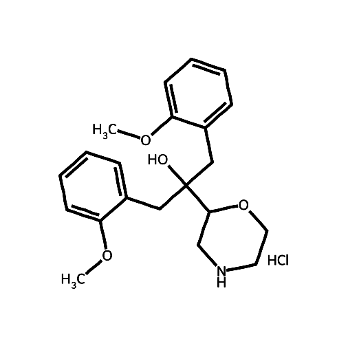 COc1ccccc1CC(O)(Cc1ccccc1OC)C1CNCCO1.Cl